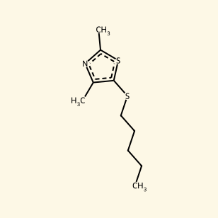 CCCCCSc1sc(C)nc1C